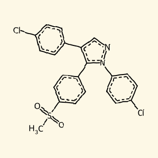 CS(=O)(=O)c1ccc(-c2c(-c3ccc(Cl)cc3)cnn2-c2ccc(Cl)cc2)cc1